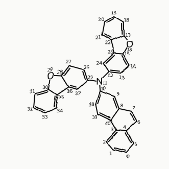 c1ccc2c(c1)ccc1cc(N(c3ccc4oc5ccccc5c4c3)c3ccc4oc5ccccc5c4c3)ccc12